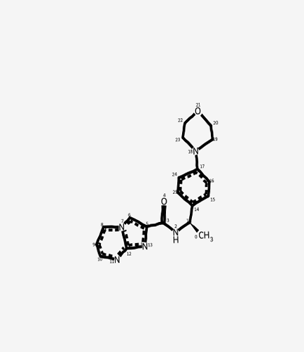 C[C@@H](NC(=O)c1cn2cccnc2n1)c1ccc(N2CCOCC2)cc1